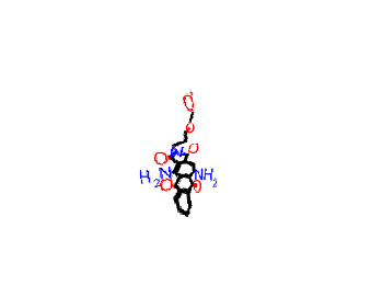 COCCOCCCN1C(=O)C2=C[C@@H](N)C3=C(C(=O)C4=CCCC=C4C3=O)C(N)=C2C1=O